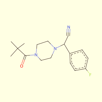 CC(C)(C)C(=O)N1CCN(C(C#N)c2ccc(F)cc2)CC1